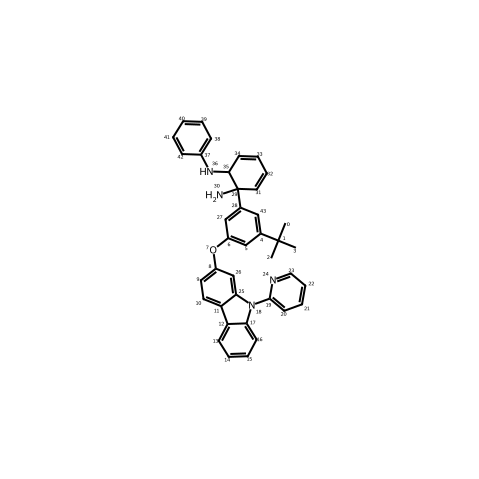 CC(C)(C)c1cc(Oc2ccc3c4ccccc4n(-c4ccccn4)c3c2)cc(C2(N)C=CC=CC2Nc2ccccc2)c1